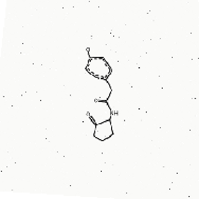 O=C(Cc1ccc(Cl)cc1)NC1CCCC1=O